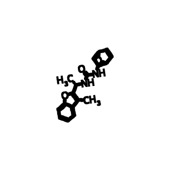 Cc1c([C@@H](C)NC(=O)Nc2cc3ccc2o3)oc2ccccc12